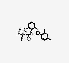 Cc1ccc(OCc2cccc(C(F)(F)F)c2NC(=O)OC(F)F)c(C)c1